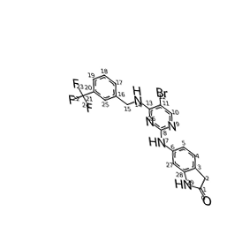 O=C1Cc2ccc(Nc3ncc(Br)c(NCc4cccc(C(F)(F)F)c4)n3)cc2N1